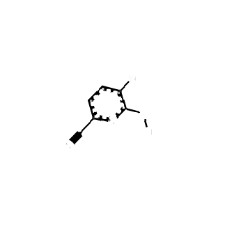 COc1nc(C#N)ccc1Br